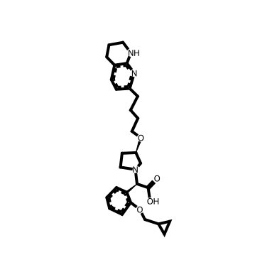 O=C(O)[C@@H](c1ccccc1OCC1CC1)N1CC[C@@H](OCCCCc2ccc3c(n2)NCCC3)C1